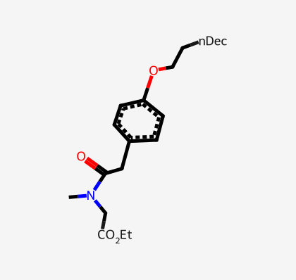 CCCCCCCCCCCCOc1ccc(CC(=O)N(C)CC(=O)OCC)cc1